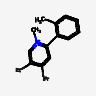 CCc1c[n+](C)c(-c2ccccc2C)cc1C(C)C